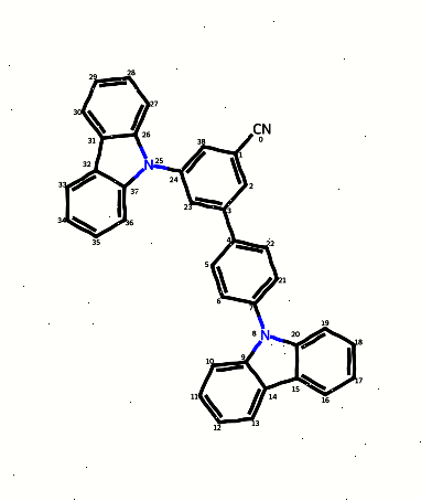 N#Cc1cc(-c2ccc(-n3c4ccccc4c4ccccc43)cc2)cc(-n2c3ccccc3c3ccccc32)c1